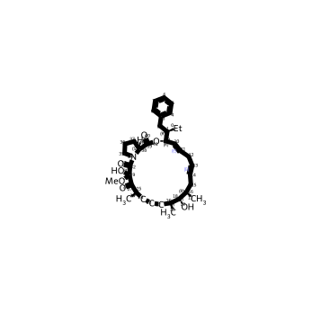 CC[C@H](Cc1ccccc1)[C@@H]1/C=C/C/C=C/C[C@@H](C)[C@H](O)[C@@H](C)CCC[C@@H](C)C(=O)C(O)(OC)C(=O)N2CCC[C@H]2C(=O)O1